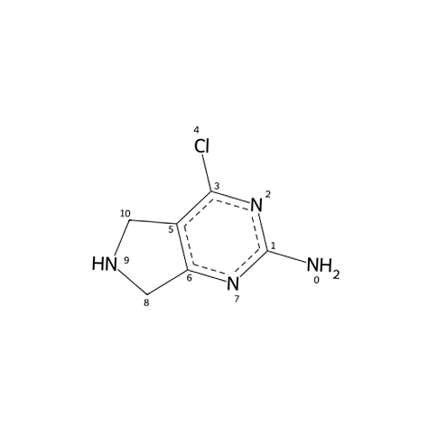 Nc1nc(Cl)c2c(n1)CNC2